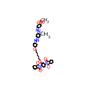 Cc1cc(N=Nc2ccc(OCCCCCCCOc3cc(N4C(=O)c5ccccc5C4=O)ccc3N3C(=O)c4ccccc4C3=O)cc2)ccc1N=Nc1ccc(S(C)(=O)=O)cc1